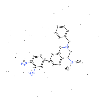 CN(C)CCN(Cc1ccccc1)Cc1cccc(-c2ccc(N)c(N)c2)c1